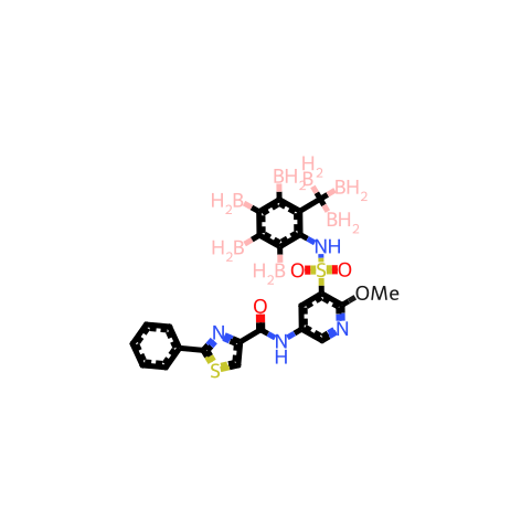 Bc1c(B)c(B)c(C(B)(B)B)c(NS(=O)(=O)c2cc(NC(=O)c3csc(-c4ccccc4)n3)cnc2OC)c1B